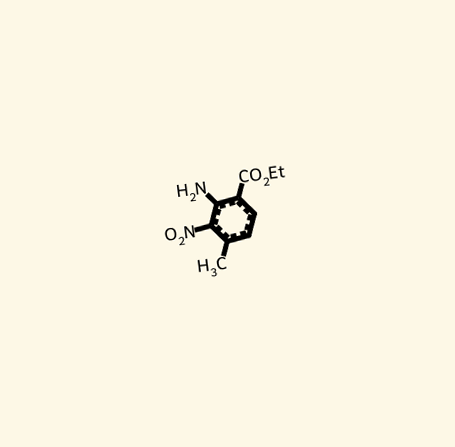 CCOC(=O)c1ccc(C)c([N+](=O)[O-])c1N